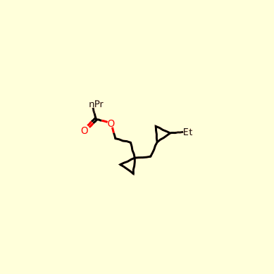 CCCC(=O)OCCC1(CC2CC2CC)CC1